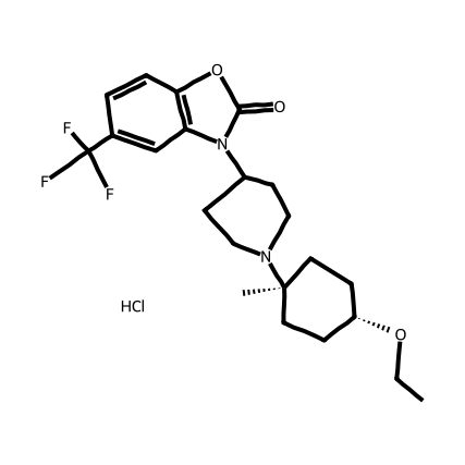 CCO[C@H]1CC[C@](C)(N2CCC(n3c(=O)oc4ccc(C(F)(F)F)cc43)CC2)CC1.Cl